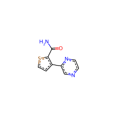 NC(=O)c1sccc1-c1cnccn1